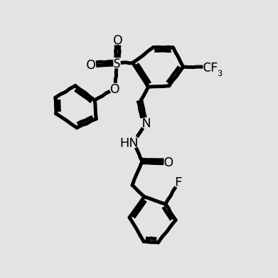 O=C(Cc1ccccc1F)NN=Cc1cc(C(F)(F)F)ccc1S(=O)(=O)Oc1ccccc1